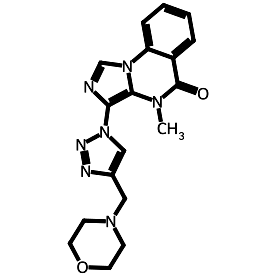 Cn1c(=O)c2ccccc2n2cnc(-n3cc(CN4CCOCC4)nn3)c12